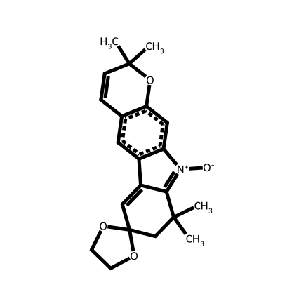 CC1(C)C=Cc2cc3c(cc2O1)[N+]([O-])=C1C3=CC2(CC1(C)C)OCCO2